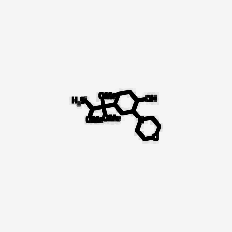 COC([SiH3])C(OC)(OC)C1CCC(O)C(N2CCOCC2)C1